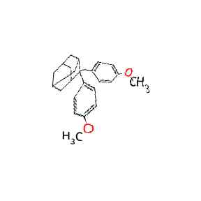 COc1ccc(C2(c3ccc(OC)cc3)C3CC4CC(C3)CC2C4)cc1